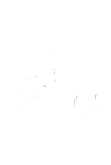 CC(=O)Nc1ccc2c(c1)C(S(=O)(=O)c1ccccc1)CS2(O)O